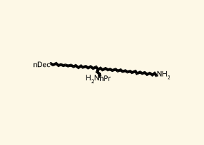 CCCCCCCCCCCCCCCCCCCCCCCCCCCCCC(CCCCCCCCCCCCCCCCCCCCCCCCN)CCC(N)CCC